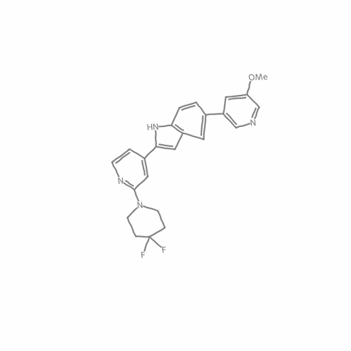 COc1cncc(-c2ccc3[nH]c(-c4ccnc(N5CCC(F)(F)CC5)c4)cc3c2)c1